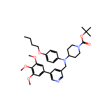 CCCCOc1ccc(N(Cc2cncc(-c3cc(OC)c(OC)c(OC)c3)c2)C2CCN(C(=O)OC(C)(C)C)CC2)cc1